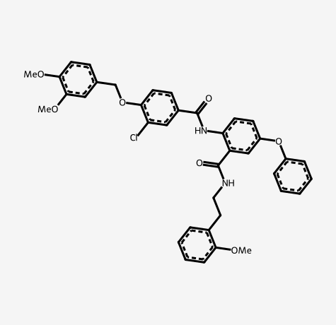 COc1ccccc1CCNC(=O)c1cc(Oc2ccccc2)ccc1NC(=O)c1ccc(OCc2ccc(OC)c(OC)c2)c(Cl)c1